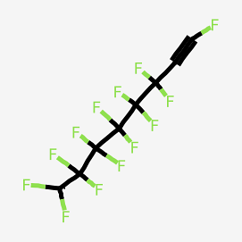 FC#CC(F)(F)C(F)(F)C(F)(F)C(F)(F)C(F)(F)[C](F)F